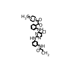 C=CC(=O)Nc1cccc(Nc2ncc(Cl)c(Nc3ccccc3C(=O)C(=O)N3CCN(C)CC3)n2)c1